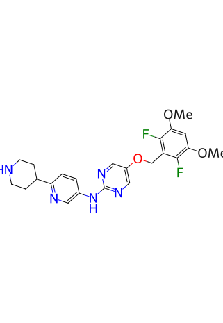 COc1cc(OC)c(F)c(COc2cnc(Nc3ccc(C4CCNCC4)nc3)nc2)c1F